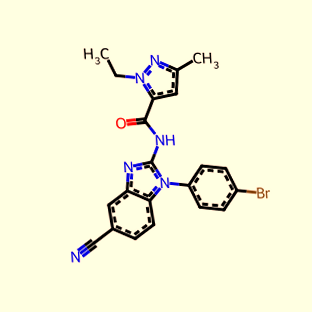 CCn1nc(C)cc1C(=O)Nc1nc2cc(C#N)ccc2n1-c1ccc(Br)cc1